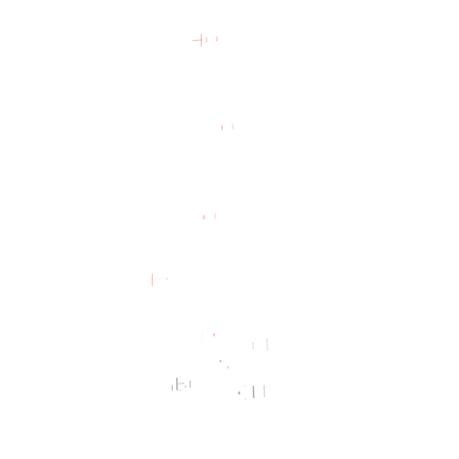 CCCC[Si](C)(C)OCC(O)COCCOCCO